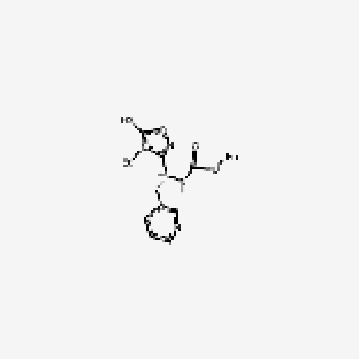 CCn1c(S)nnc1[C@@H](Cc1cccnc1)NC(=O)OC(C)(C)C